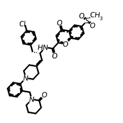 CS(=O)(=O)c1ccc2oc(C(=O)N[C@H](C=C3CCN(c4ccccc4CN4CCCCC4=O)CC3)Cc3ccc(Cl)cc3)cc(=O)c2c1